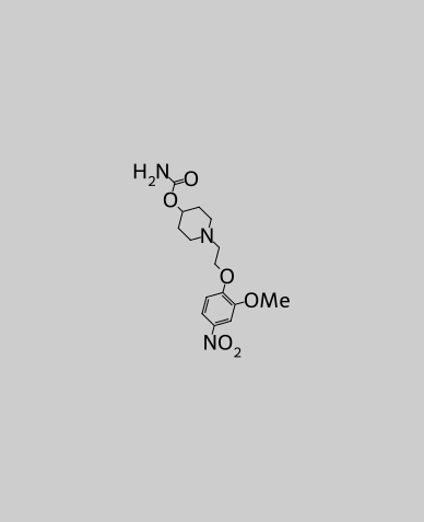 COc1cc([N+](=O)[O-])ccc1OCCN1CCC(OC(N)=O)CC1